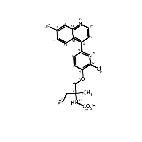 CC(C)CC(C)(COc1ccc(-c2ccnc3cc(F)ccc23)nc1Cl)NC(=O)O